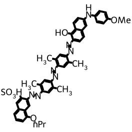 CCCOc1cccc2cc(S(=O)(=O)O)c(N=Nc3cc(C)c(N=Nc4cc(C)c(N=Nc5ccc6cc(Nc7ccc(OC)cc7)ccc6c5O)cc4C)cc3C)cc12